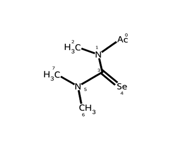 CC(=O)N(C)C(=[Se])N(C)C